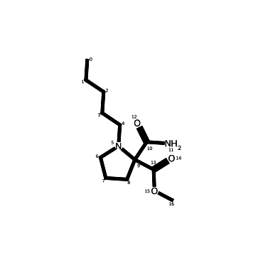 CCCCCN1CCCC1(C(N)=O)C(=O)OC